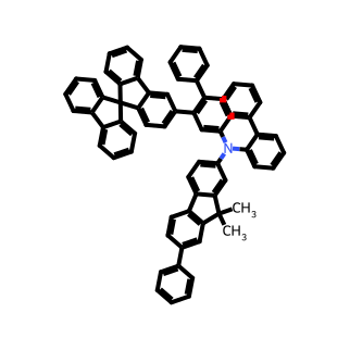 CC1(C)c2cc(-c3ccccc3)ccc2-c2ccc(N(c3ccc(-c4ccccc4)c(-c4ccc5c(c4)-c4ccccc4C54c5ccccc5-c5ccccc54)c3)c3ccccc3-c3ccccc3)cc21